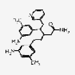 Cc1cc(N)cc(CC[C](CC(N)=O)C(Cc2cccnc2)c2cc(C)cc(N)c2)c1